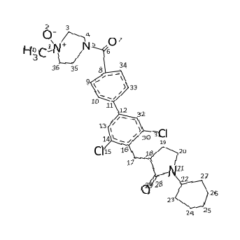 C[N+]1([O-])CCN(C(=O)c2ccc(-c3cc(Cl)c(CC4CCN(C5CCCCC5)C4=O)c(Cl)c3)cc2)CC1